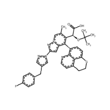 Cc1cn2nc(-n3cc(Cc4ccc(F)cc4)cn3)cc2c(-c2ccc3c4c(ccnc24)CCO3)c1[C@H](OC(C)(C)C)C(=O)O